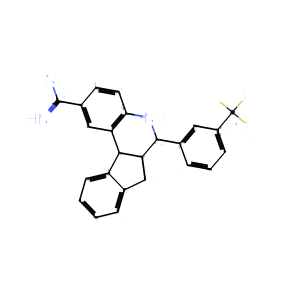 N=C(N)c1ccc2c(c1)C1c3ccccc3CC1C(c1cccc(C(F)(F)F)c1)N2